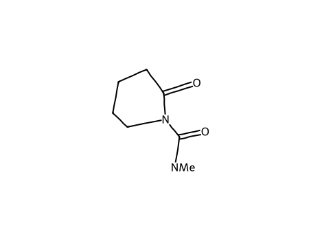 CNC(=O)N1CCCCC1=O